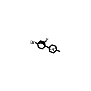 CC12CCC(C34CCC(Br)(C=C3F)CC4)(CC1)CC2